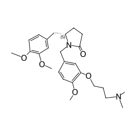 COc1ccc(C[C@@H]2CCC(=O)N2Cc2ccc(OC)c(OCCCN(C)C)c2)cc1OC